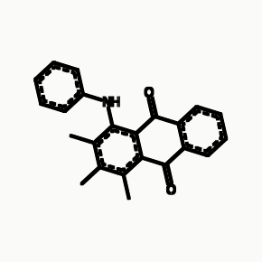 Cc1c(C)c(Nc2ccccc2)c2c(c1C)C(=O)c1ccccc1C2=O